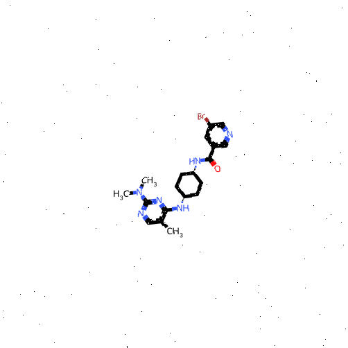 Cc1cnc(N(C)C)nc1N[C@H]1CC[C@@H](NC(=O)c2cncc(Br)c2)CC1